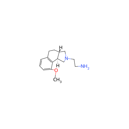 COc1cccc2c1[C@@H]1CN(CCN)C[C@H]1CC2